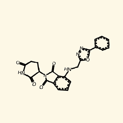 O=C1CCC(N2C(=O)c3cccc(NCc4nnc(-c5ccccc5)o4)c3C2=O)C(=O)N1